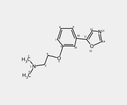 CN(C)CCOc1cccc(-c2cnco2)c1